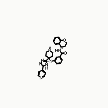 CN1CCC(Nc2cccc(C(=O)N[C@H]3CCOc4ccccc43)c2)(c2nnc(-c3ccncc3)[nH]2)CC1